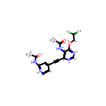 O=C(Nc1cc(C#Cc2ncnc(OCC(F)F)c2NC(=O)C(F)(F)F)ccn1)C(F)(F)F